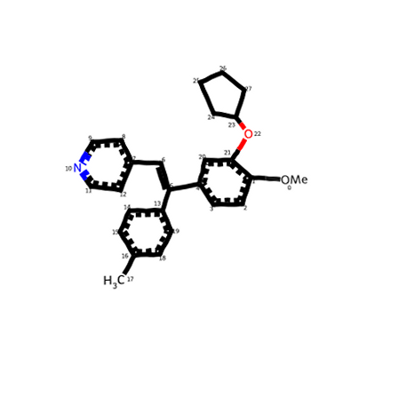 COc1ccc(/C(=C/c2ccncc2)c2ccc(C)cc2)cc1OC1CCCC1